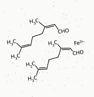 CC(C)=CCC/C(C)=C\C=O.CC(C)=CCC/C(C)=C\C=O.[Fe+3]